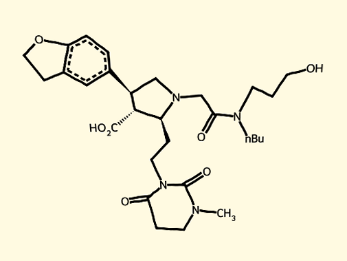 CCCCN(CCCO)C(=O)CN1C[C@H](c2ccc3c(c2)CCO3)[C@@H](C(=O)O)[C@@H]1CCN1C(=O)CCN(C)C1=O